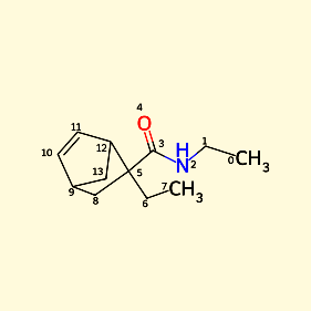 CCNC(=O)C1(CC)CC2C=CC1C2